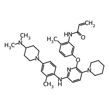 C=CC(=O)Nc1cc(Oc2nc(Nc3ccc(N4CCC(N(C)C)CC4)cc3C)ccc2N2CCCCC2)ccc1C